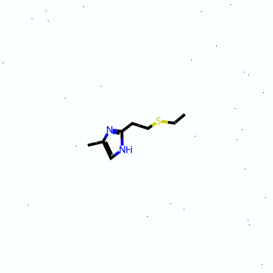 CCSCCc1nc(C)c[nH]1